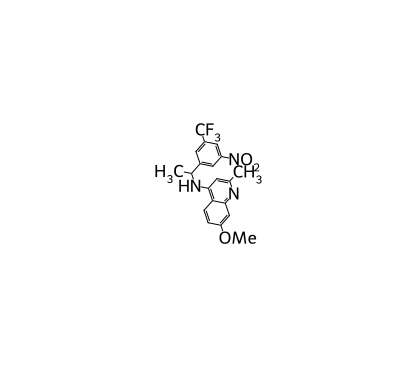 COc1ccc2c(NC(C)c3cc([N+](=O)[O-])cc(C(F)(F)F)c3)cc(C)nc2c1